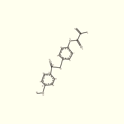 C=C(C)C(=O)Oc1ccc(CC(=O)c2ccc(OC)cc2)cc1